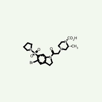 C[C@@H]1CN(CC(=O)N2CCc3cc(Br)c(S(=O)(=O)N4CCCC4)cc32)CCN1C(=O)O